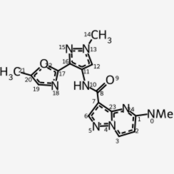 CNc1ccn2ncc(C(=O)Nc3cn(C)nc3-c3ncc(C)o3)c2n1